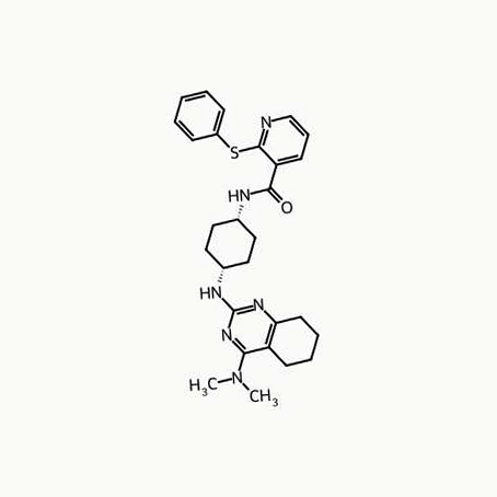 CN(C)c1nc(N[C@H]2CC[C@@H](NC(=O)c3cccnc3Sc3ccccc3)CC2)nc2c1CCCC2